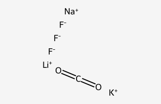 O=C=O.[F-].[F-].[F-].[K+].[Li+].[Na+]